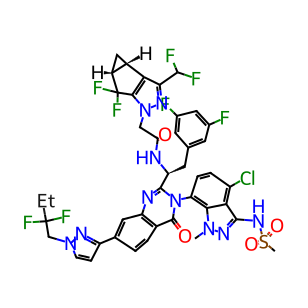 CCC(F)(F)Cn1ccc(-c2ccc3c(=O)n(-c4ccc(Cl)c5c(NS(C)(=O)=O)nn(C)c45)c([C@H](Cc4cc(F)cc(F)c4)NC(=O)Cn4nc(C(F)F)c5c4C(F)(F)[C@@H]4C[C@H]54)nc3c2)n1